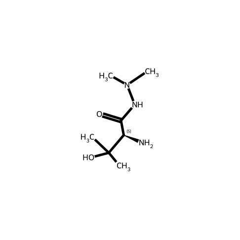 CN(C)NC(=O)[C@@H](N)C(C)(C)O